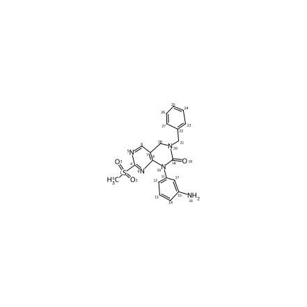 CS(=O)(=O)c1ncc2c(n1)N(c1cccc(N)c1)C(=O)N(Cc1ccccc1)C2